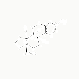 CCCCC[C@@]12CCC[C@H]1[C@@H]1CCc3cc(O)ccc3[C@H]1CC2